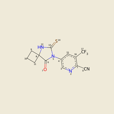 N#Cc1ncc(N2C(=O)C3(CCC3)NC2=S)cc1C(F)(F)F